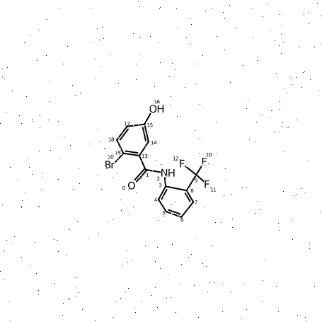 O=C(Nc1ccccc1C(F)(F)F)c1cc(O)ccc1Br